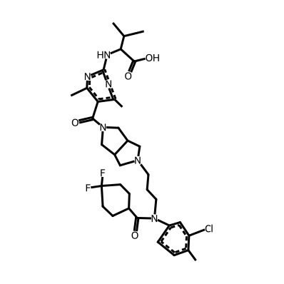 Cc1ccc(N(CCCN2CC3CN(C(=O)c4c(C)nc(NC(C(=O)O)C(C)C)nc4C)CC3C2)C(=O)C2CCC(F)(F)CC2)cc1Cl